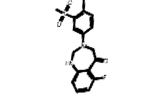 Cc1ccc(N2CNc3cccc(F)c3C(=O)C2)cc1S(C)(=O)=O